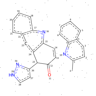 Cc1ccc2ccccc2n1.O=C1C=Cc2nc3ccccc3cc2C1c1cc[nH]n1